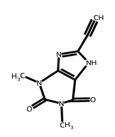 C#Cc1nc2c([nH]1)c(=O)n(C)c(=O)n2C